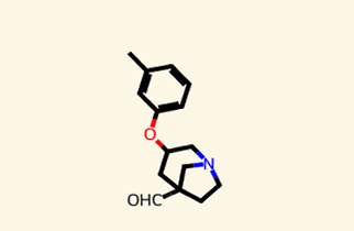 Cc1cccc(OC2CN3CCC(C=O)(C2)C3)c1